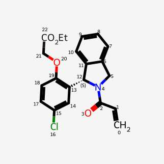 C=CC(=O)N1Cc2ccccc2[C@H]1c1cc(Cl)ccc1OCC(=O)OCC